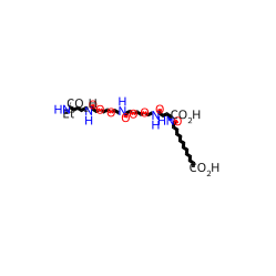 CCN[C@@H](CCCCNC(=O)COCCOCCNC(=O)COCCOCCNC(=O)CC[C@H](NC(=O)CCCCCCCCCCCCC(=O)O)C(=O)O)C(=O)O